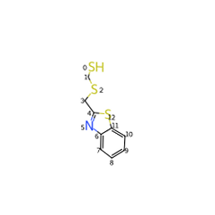 SCSCc1nc2ccccc2s1